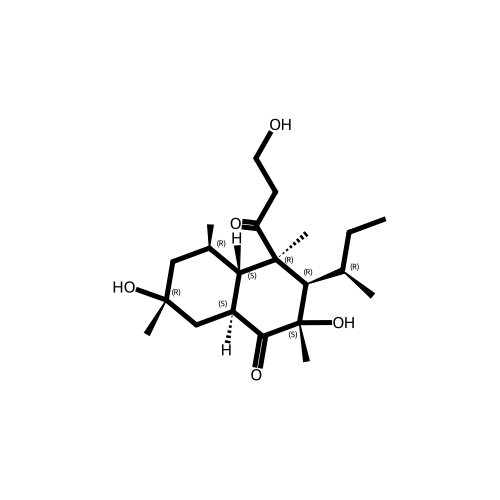 CC[C@@H](C)[C@@H]1[C@](C)(C(=O)CCO)[C@H]2[C@H](C)C[C@@](C)(O)C[C@@H]2C(=O)[C@@]1(C)O